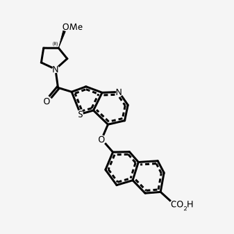 CO[C@@H]1CCN(C(=O)c2cc3nccc(Oc4ccc5cc(C(=O)O)ccc5c4)c3s2)C1